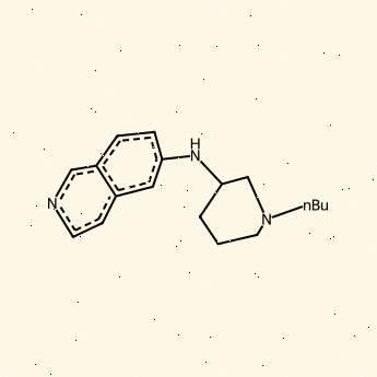 CCCCN1CCCC(Nc2ccc3cnccc3c2)C1